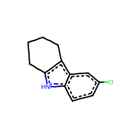 Clc1ccc2[nH]c3c(c2c1)CCC[CH]3